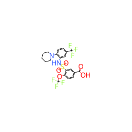 O=C(O)c1ccc(OC(F)(F)F)c(S(=O)(=O)Nc2cc(C(F)(F)F)ccc2N2CCCCC2)c1